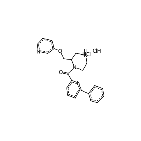 Cl.Cl.O=C(c1cccc(-c2ccccc2)n1)N1CCNCC1COc1cccnc1